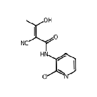 C/C(O)=C(\C#N)C(=O)Nc1cccnc1Cl